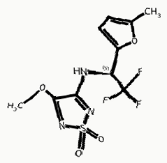 COC1=NS(=O)(=O)N=C1N[C@@H](c1ccc(C)o1)C(F)(F)F